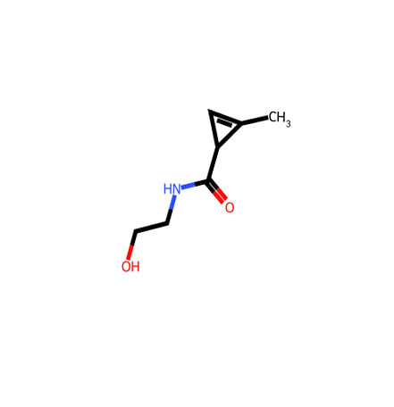 CC1=CC1C(=O)NCCO